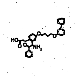 NC(C(=O)c1ccccc1)c1cc(OCCCCOc2cccc(-c3ccccc3)c2)ccc1CCC(=O)O